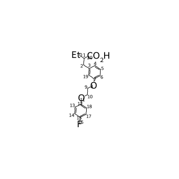 CCC(Cc1cccc(OCCOc2ccc(F)cc2)c1)C(=O)O